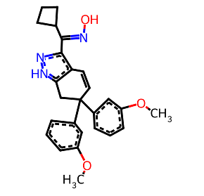 COc1cccc(C2(c3cccc(OC)c3)C=Cc3c(C(=NO)C4CCC4)n[nH]c3C2)c1